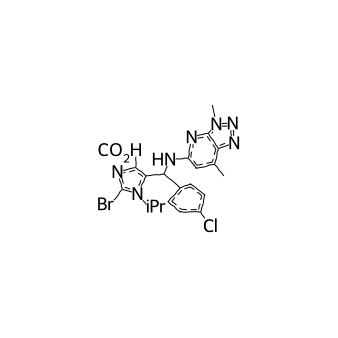 Cc1cc(NC(c2ccc(Cl)cc2)c2c(C(=O)O)nc(Br)n2C(C)C)nc2c1nnn2C